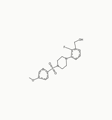 COc1ccc(S(=O)(=O)N2CCN(c3cccc(CO)c3F)CC2)cc1